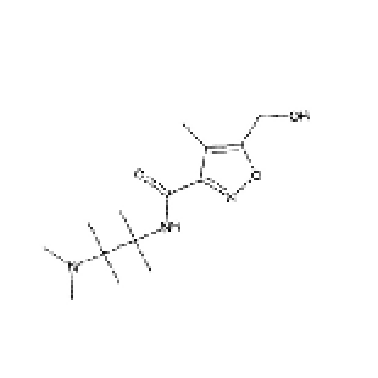 Cc1c(C(=O)NC(C)(C)C(C)(C)N(C)C)noc1CO